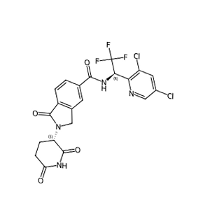 O=C1CC[C@H](N2Cc3cc(C(=O)N[C@H](c4ncc(Cl)cc4Cl)C(F)(F)F)ccc3C2=O)C(=O)N1